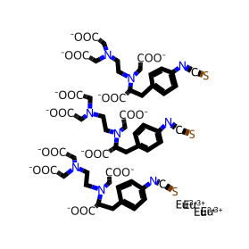 O=C([O-])CN(CCN(CC(=O)[O-])C(Cc1ccc(N=C=S)cc1)C(=O)[O-])CC(=O)[O-].O=C([O-])CN(CCN(CC(=O)[O-])C(Cc1ccc(N=C=S)cc1)C(=O)[O-])CC(=O)[O-].O=C([O-])CN(CCN(CC(=O)[O-])C(Cc1ccc(N=C=S)cc1)C(=O)[O-])CC(=O)[O-].[Eu+3].[Eu+3].[Eu+3].[Eu+3]